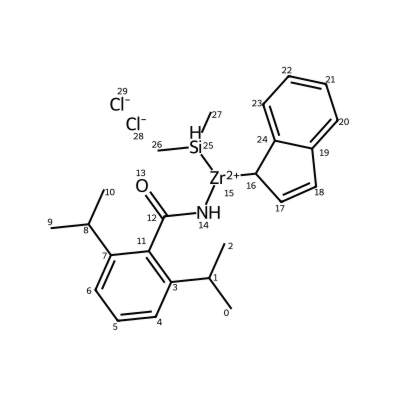 CC(C)c1cccc(C(C)C)c1C(=O)[NH][Zr+2]([CH]1C=Cc2ccccc21)[SiH](C)C.[Cl-].[Cl-]